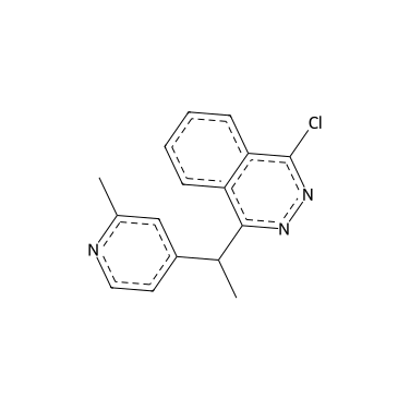 Cc1cc(C(C)c2nnc(Cl)c3ccccc23)ccn1